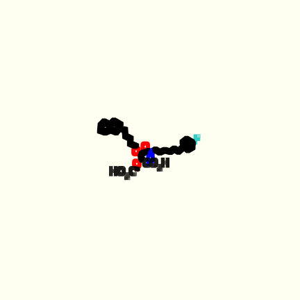 O=C(O)COC(C(=O)O)C(OCCCCCc1ccc2ccccc2c1)C(=O)NCCCCCCc1ccc(F)cc1